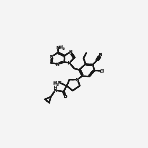 CCc1c(C#N)c(Cl)cc(N2CC[C@](N)(C(=O)NC3CC3)C2)c1Cn1cnc2c(N)ncnc21